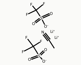 CC#N.O=S(=O)([O-])C(F)(F)F.O=S(=O)([O-])C(F)(F)F.[Li+].[Li+]